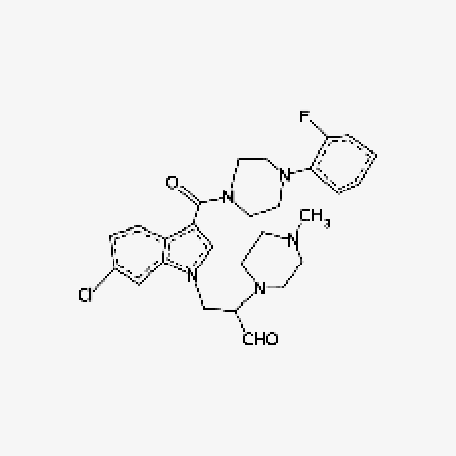 CN1CCN(C(C=O)Cn2cc(C(=O)N3CCN(c4ccccc4F)CC3)c3ccc(Cl)cc32)CC1